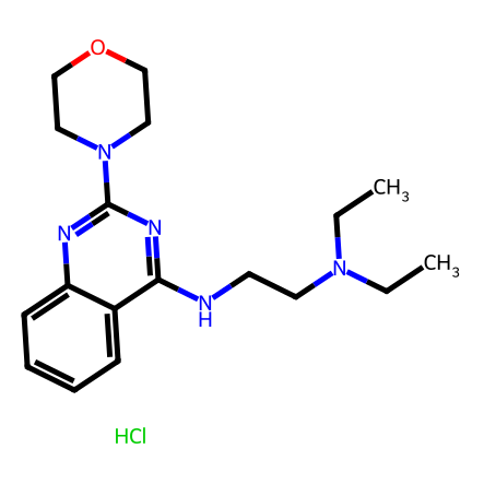 CCN(CC)CCNc1nc(N2CCOCC2)nc2ccccc12.Cl